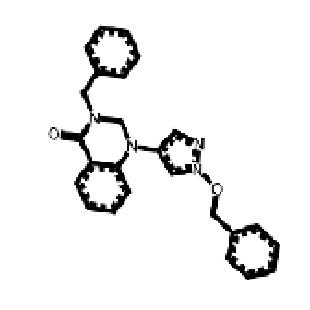 O=C1c2ccccc2N(c2cnn(OCc3ccccc3)c2)CN1Cc1ccccc1